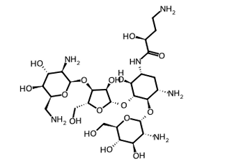 NCC[C@H](O)C(=O)N[C@@H]1C[C@H](N)[C@@H](O[C@H]2O[C@H](CO)[C@@H](O)[C@H](O)[C@H]2N)[C@H](O[C@@H]2O[C@H](CO)[C@@H](O[C@H]3O[C@@H](CN)[C@@H](O)[C@H](O)[C@H]3N)[C@H]2O)[C@H]1O